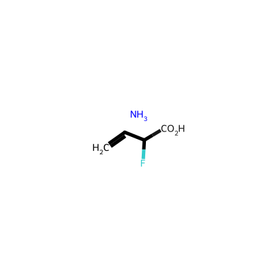 C=CC(F)C(=O)O.N